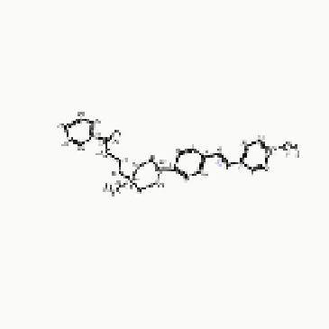 C[n+]1ccc(/C=C/c2ccc(N3CC[N+](C)(CCSC(=O)c4ccccc4)CC3)cc2)cc1